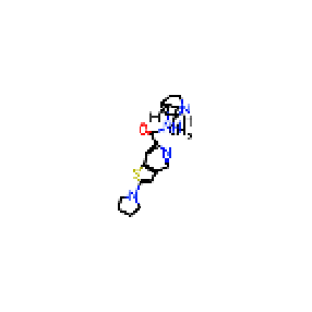 C[C@H]1[C@H](NC(=O)c2cc3sc(N4CCCC4)cc3cn2)C2CCN1CC2